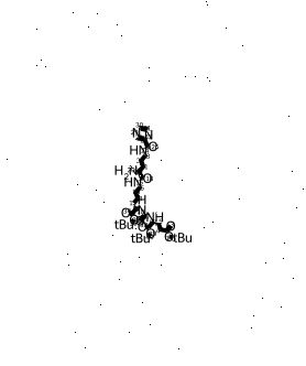 CC(C)(C)OC(=O)CC[C@H](NC(=O)N[C@@H](CCCCNC(=O)[C@@H](N)CCCNC(=O)c1cnccn1)C(=O)OC(C)(C)C)C(=O)OC(C)(C)C